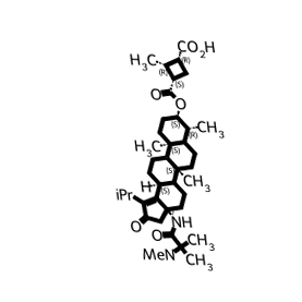 CNC(C)(C)C(=O)N[C@@]12CCC3[C@H](CCC4[C@@]3(C)CCC3[C@@H](C)[C@@H](OC(=O)[C@H]5C[C@@H](C(=O)O)[C@H]5C)CC[C@@]34C)C1=C(C(C)C)C(=O)C2